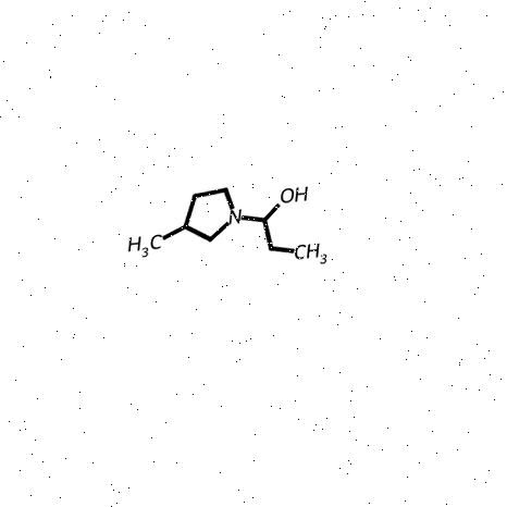 CCC(O)N1CCC(C)C1